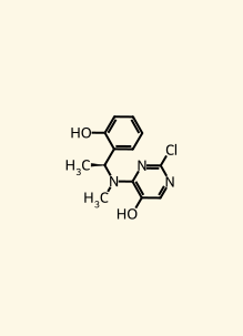 C[C@@H](c1ccccc1O)N(C)c1nc(Cl)ncc1O